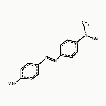 CNc1ccc(/N=N/c2ccc(N(C)C(C)(C)C)cc2)cc1